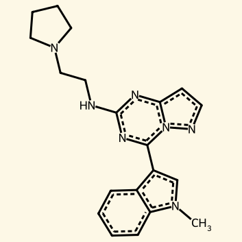 Cn1cc(-c2nc(NCCN3CCCC3)nc3ccnn23)c2ccccc21